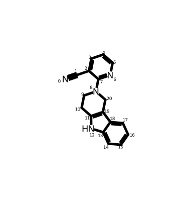 N#Cc1cccnc1N1CCc2[nH]c3ccccc3c2C1